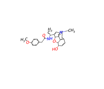 COc1ccc(CC(=O)NC(C)C2=CC3C4CC5=C6C(OC2C63CCN4C)C(O)C=C5)cc1